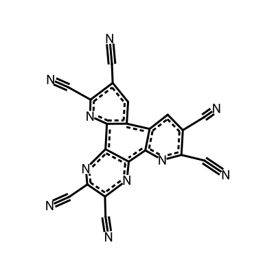 N#Cc1cc2c3cc(C#N)c(C#N)nc3c3nc(C#N)c(C#N)nc3c2nc1C#N